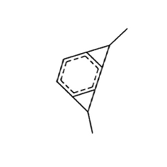 CC1c2ccc3c(c21)C3C